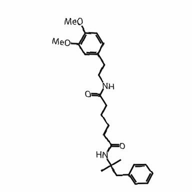 COc1ccc(CCNC(=O)CCCCC(=O)NC(C)(C)Cc2ccccc2)cc1OC